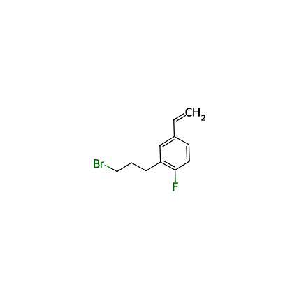 C=Cc1ccc(F)c(CCCBr)c1